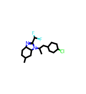 CC1CCC2N=C(C(F)F)N(C(C)CC3CCC(Cl)CC3)C2C1